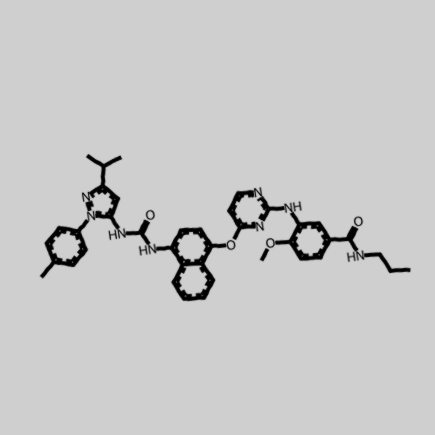 CCCNC(=O)c1ccc(OC)c(Nc2nccc(Oc3ccc(NC(=O)Nc4cc(C(C)C)nn4-c4ccc(C)cc4)c4ccccc34)n2)c1